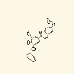 COc1cc(-c2ccc3cc4c(cc3n2)OCO4)cc(OCc2ccccc2)c1OC